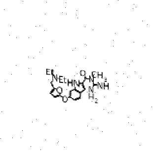 CCN(CC)Cc1ccc(Oc2ccc3cc(C(=O)N(C)C(=N)N)[nH]c3c2)o1